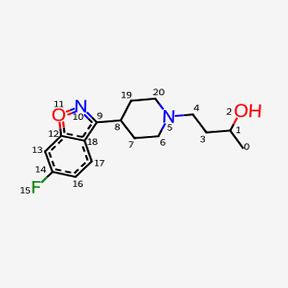 CC(O)CCN1CCC(c2noc3cc(F)ccc23)CC1